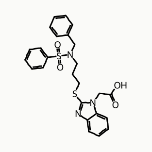 O=C(O)Cn1c(SCCCN(Cc2ccccc2)S(=O)(=O)c2ccccc2)nc2ccccc21